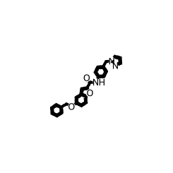 O=C(Nc1ccc(Cn2cccn2)cc1)c1cc2cc(OCc3ccccc3)ccc2o1